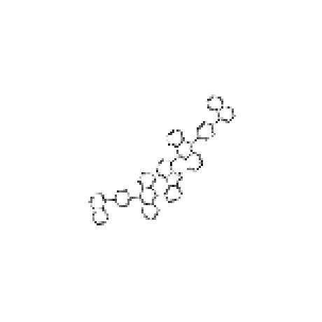 c1ccc2c(-c3ccc(-c4c5ccccc5c(-c5cccc6c5sc5cccc(-c7c8ccccc8c(-c8ccc(-c9cccc%10ccccc9%10)cc8)c8ccccc78)c56)c5ccccc45)cc3)cccc2c1